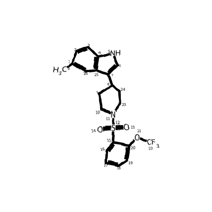 Cc1ccc2[nH]cc(C3CCN(S(=O)(=O)c4ccccc4OC(F)(F)F)CC3)c2c1